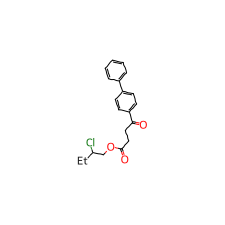 CCC(Cl)COC(=O)CCC(=O)c1ccc(-c2ccccc2)cc1